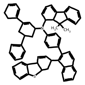 CC1(C)c2ccccc2C2=CC=CC(N(c3ccc(-c4ccc5ccccc5c4C4C=CC5c6ccccc6SC5C4)cc3)C3C=C(C4=CC=CCC4)CC(c4ccccc4)C3)C21